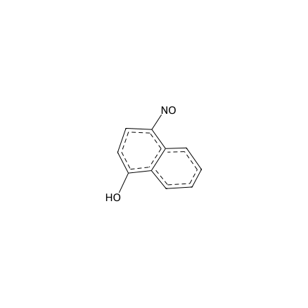 O=Nc1ccc(O)c2ccccc12